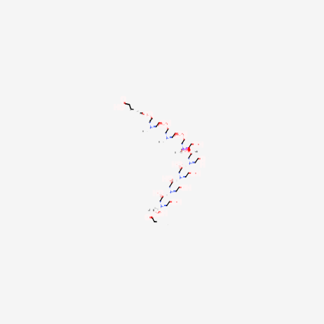 CC(=O)O.CCC(=O)O.CCCC(=O)O.CCCCN(CCO)CCO.CCCCN(CCO)CCO.CCCCN(CCO)CCO.CCCCN(CCO)CCO.CCCCN(CCO)CCO.CCCCN(CCO)CCO.CCCCN(CCO)CCO.O=C(O)CC(=O)O.O=CO